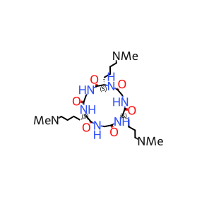 CNCCCC[C@@H]1NC(=O)CNC(=O)[C@H](CCCCNC)NC(=O)CNC(=O)[C@H](CCCCNC)NC(=O)CNC1=O